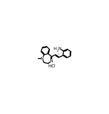 CN1CCN=C(/C=C/c2ccccc2N)c2ccccc21.Cl